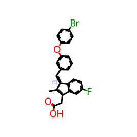 CC1=C(CC(=O)O)c2cc(F)ccc2/C1=C\c1cccc(Oc2ccc(Br)cc2)c1